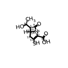 C[C@H](O)[C@H]1C(=O)N2C(C(=O)O)=C(S)C[C@H]12